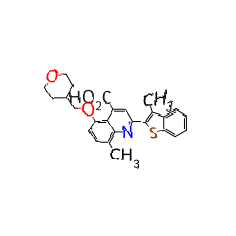 Cc1c(-c2cc(C(=O)O)c3c(OCC4CCOCC4)ccc(C)c3n2)sc2ccccc12